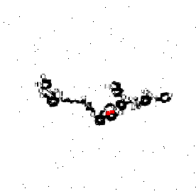 O=C1CCC(N2C(=O)c3cccc(NCCCCCC(=O)N4CC(COc5cccc(-c6ccc(Cl)cc6)c5CN5CCN(c6ccc(C(=O)NS(=O)(=O)c7ccc(NCC8CCOCC8)c([N+](=O)[O-])c7)c(Oc7cnc8[nH]ccc8c7)c6)CC5)C4)c3C2=O)C(=O)N1